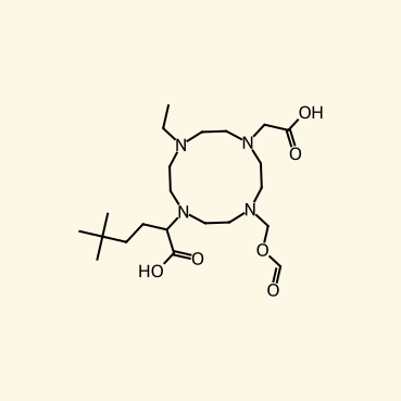 CCN1CCN(CC(=O)O)CCN(COC=O)CCN(C(CCC(C)(C)C)C(=O)O)CC1